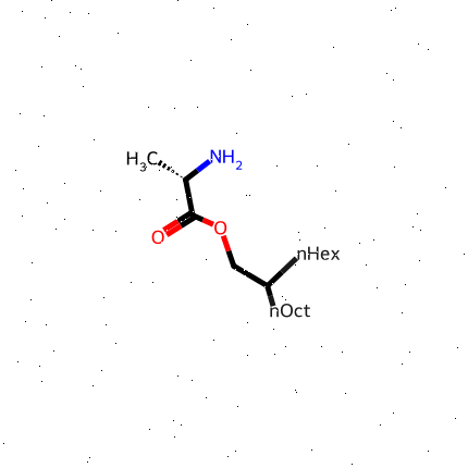 CCCCCCCCC(CCCCCC)COC(=O)[C@H](C)N